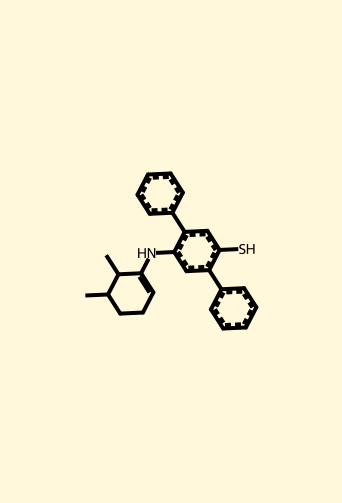 CC1CCC=C(Nc2cc(-c3ccccc3)c(S)cc2-c2ccccc2)C1C